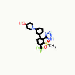 CS(=O)(=O)c1c(C(F)(F)F)ccc(-c2cccc(N3CCC(O)CC3)c2)c1-c1nnn[nH]1